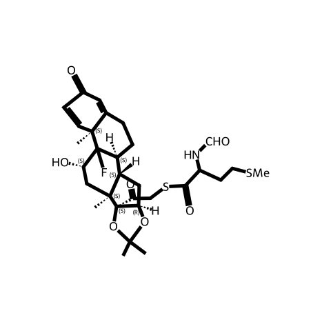 CSCCC(NC=O)C(=O)SCC(=O)[C@@]12OC(C)(C)O[C@@H]1C[C@H]1[C@@H]3CCC4=CC(=O)C=C[C@]4(C)C3(F)[C@@H](O)C[C@@]12C